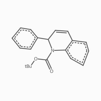 CC(C)(C)OC(=O)N1c2ccccc2C=CC1c1ccccc1